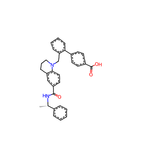 C[C@H](NC(=O)c1ccc2c(c1)CCCN2Cc1ccccc1-c1ccc(C(=O)O)cc1)c1ccccc1